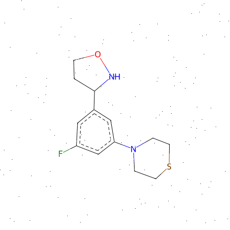 Fc1cc(C2CCON2)cc(N2CCSCC2)c1